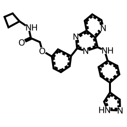 O=C(COc1cccc(-c2nc(Nc3ccc(-c4cn[nH]c4)cc3)c3ncccc3n2)c1)NC1CCC1